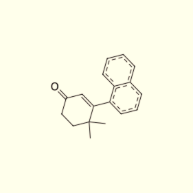 CC1(C)CCC(=O)C=C1c1cccc2ccccc12